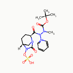 CN(C(=O)OC(C)(C)C)N(C(=O)[C@@H]1CC[C@@H]2CN1C(=O)N2OS(=O)(=O)O)[n+]1ccccc1